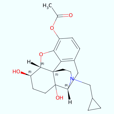 CC(=O)Oc1ccc2c3c1O[C@H]1[C@H](O)CCC4(O)[C@@H](C2)N(CC2CC2)CC[C@]314